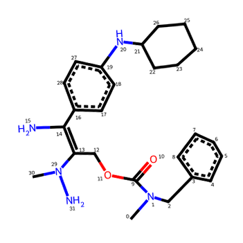 CN(Cc1ccccc1)C(=O)OC/C(=C(/N)c1ccc(NC2CCCCC2)cc1)N(C)N